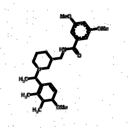 COc1cc(OC)cc(C(=O)NCC2CCCN(C(C)C3=C(C)C(C)C(OC)C=C3)C2)c1